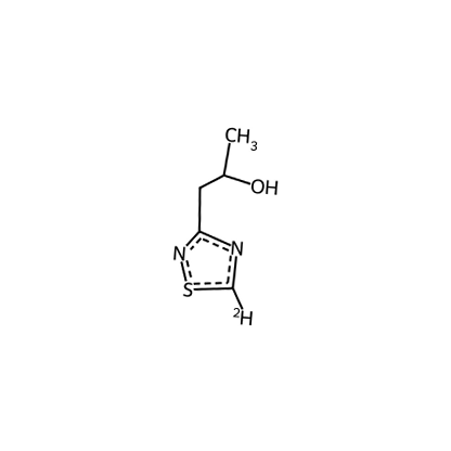 [2H]c1nc(CC(C)O)ns1